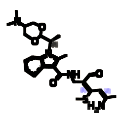 CSC(/C=C(/C)N)=C(/C=O)CNC(=O)c1c(C)n([C@H](C)C2OCC(N(C)C)CO2)c2ccccc12